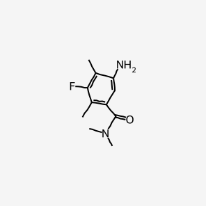 Cc1c(N)cc(C(=O)N(C)C)c(C)c1F